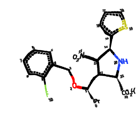 CC(C)[C@H](OCc1ccccc1F)C1C([N+](=O)[O-])[C@@H](c2cccs2)N[C@@H]1C(=O)O